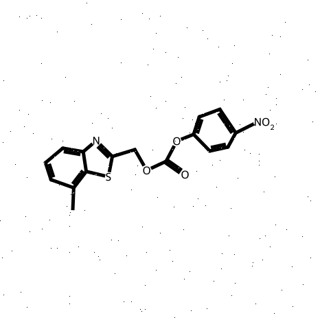 Cc1cccc2nc(COC(=O)Oc3ccc([N+](=O)[O-])cc3)sc12